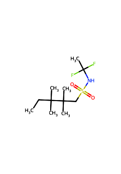 CCC(C)(C)C(C)(C)CS(=O)(=O)NC(C)(F)F